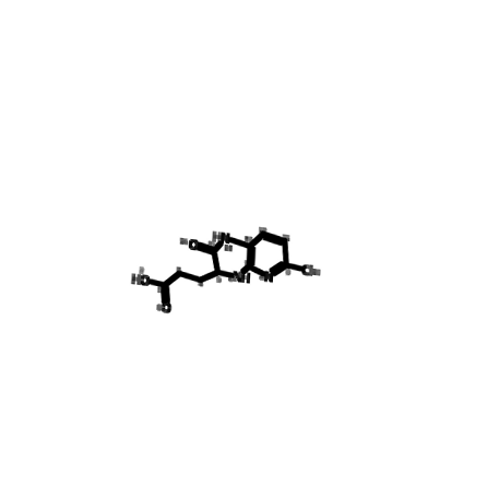 O=C(O)CCC1Nc2nc(Cl)ccc2NC1=O